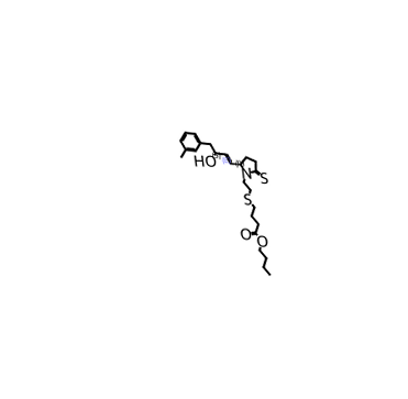 CCCCOC(=O)CCCSCCN1C(=S)CC[C@@H]1/C=C/[C@@H](O)Cc1cccc(C)c1